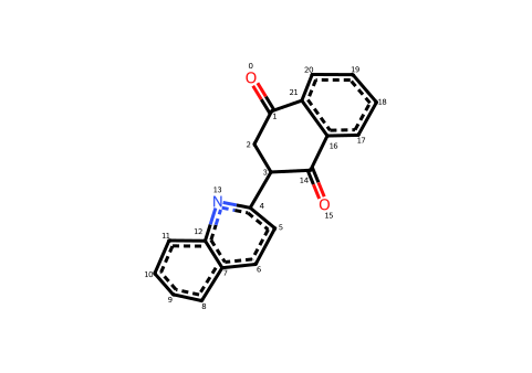 O=C1CC(c2ccc3ccccc3n2)C(=O)c2ccccc21